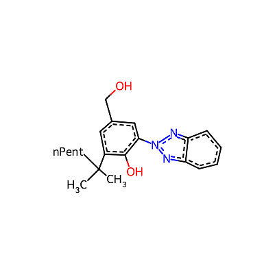 CCCCCC(C)(C)c1cc(CO)cc(-n2nc3ccccc3n2)c1O